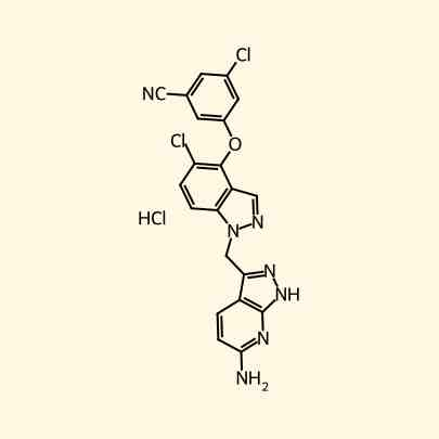 Cl.N#Cc1cc(Cl)cc(Oc2c(Cl)ccc3c2cnn3Cc2n[nH]c3nc(N)ccc23)c1